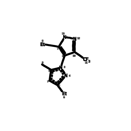 CCC1=C(n2nc(CC)cc2C)C(C(F)(F)F)=N[N]1